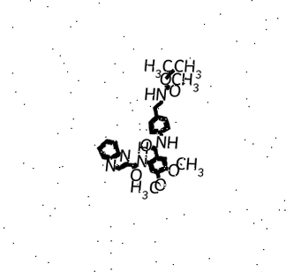 COc1cc(NC(=O)c2cnc3ccccc3n2)c(C(=O)Nc2ccc(CCNC(=O)OC(C)(C)C)cc2)cc1OC